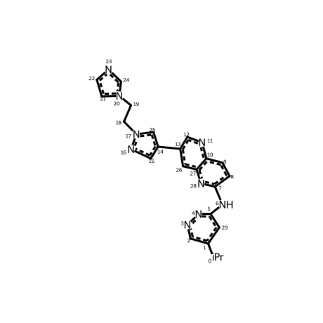 CC(C)c1cnnc(Nc2ccc3ncc(-c4cnn(CCn5ccnc5)c4)cc3n2)c1